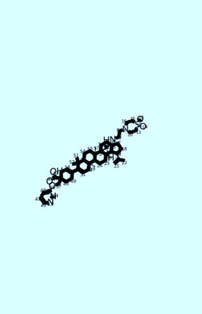 C=C[C@@]12CC[C@@]3(NCCN4CCS(=O)(=O)CC4)CC[C@@H](C(=C)C)C3[C@H]1CCC1[C@@]3(C)CC=C(C4=CCC(COc5cccnn5)(C(=O)O)CC4)C(C)(C)C3CC[C@]12C